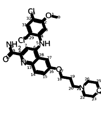 COc1cc(Nc2cc(C(N)=O)nc3ccc(OCCCN4CCOCC4)cc23)c(Cl)cc1Cl